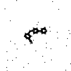 N#Cc1cccc(C[n+]2ccc(-c3ccncc3)cc2)c1